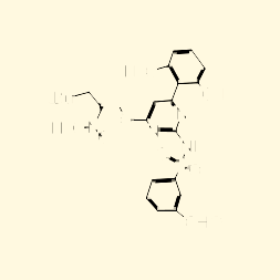 Cc1cccc(C)c1-c1cc(OC[C@@H](CC(C)(C)C)N(C)C)nc(NS(=O)(=O)c2cccc(C=O)c2)n1